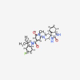 Cn1c(N2CCC3(CC2)NC(=O)NC2CC=CC=C23)cc(C(=O)N2CC(C)(C)c3cc(F)ccc32)cc1=O